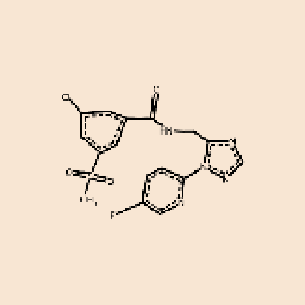 CS(=O)(=O)c1cc(Cl)cc(C(=O)NCc2ncnn2-c2ccc(F)cn2)c1